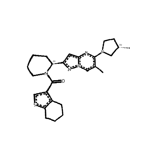 Cc1cn2nc([C@@H]3CCCCN3C(=O)c3csc4c3CCCC4)cc2nc1N1CC[C@H](C)C1